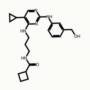 O=C(NCCCNc1nc(Nc2cccc(CO)c2)ncc1C1CC1)C1CCC1